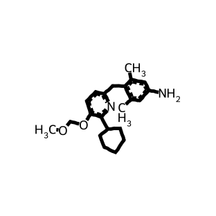 COCOc1ccc(Cc2c(C)cc(N)cc2C)nc1C1CCCCC1